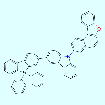 c1ccc([Si]2(c3ccccc3)c3ccccc3-c3ccc(-c4ccc5c(c4)c4ccccc4n5-c4ccc5c(ccc6oc7ccccc7c65)c4)cc32)cc1